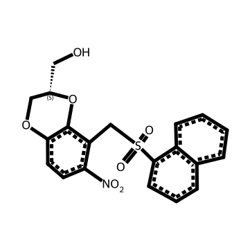 O=[N+]([O-])c1ccc2c(c1CS(=O)(=O)c1cccc3ccccc13)O[C@@H](CO)CO2